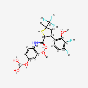 COc1cc(OB(O)O)ccc1NC(=O)C1SC(C)(C(F)(F)F)CC1c1ccc(F)c(F)c1OC